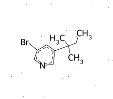 CCC(C)(C)c1cncc(Br)c1